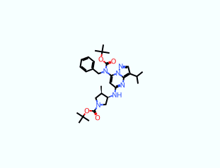 CC(C)c1cnn2c(N(Cc3ccccc3)C(=O)OC(C)(C)C)cc(N[C@H]3CN(C(=O)OC(C)(C)C)C[C@H]3C)nc12